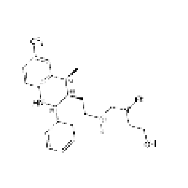 CCN(CCO)C[C@H](C)CC[C@@H]1[C@H](C)c2cc(C(F)(F)F)ccc2N[C@H]1C1C=CC=CC1